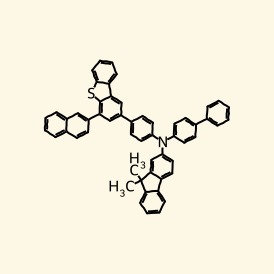 CC1(C)c2ccccc2-c2ccc(N(c3ccc(-c4ccccc4)cc3)c3ccc(-c4cc(-c5ccc6ccccc6c5)c5sc6ccccc6c5c4)cc3)cc21